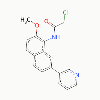 COc1ccc2ccc(-c3cccnc3)cc2c1NC(=O)CCl